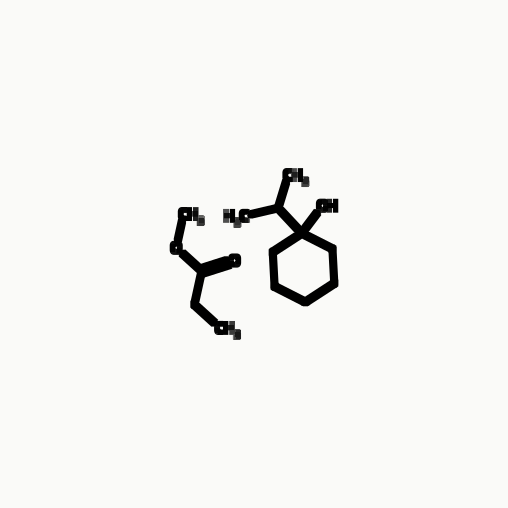 CC(C)C1(O)CCCCC1.CCC(=O)OC